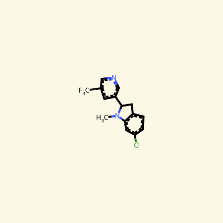 CN1c2cc(Cl)ccc2CC1c1cncc(C(F)(F)F)c1